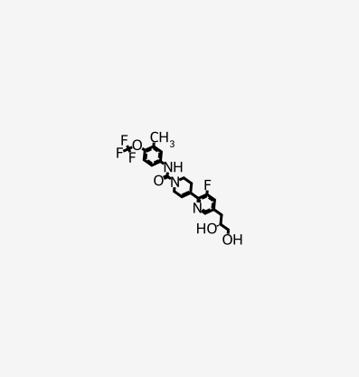 Cc1cc(NC(=O)N2CC=C(c3ncc(C[C@@H](O)CO)cc3F)CC2)ccc1OC(F)(F)F